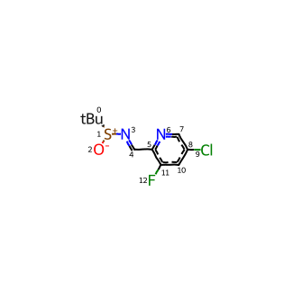 CC(C)(C)[S@+]([O-])N=Cc1ncc(Cl)cc1F